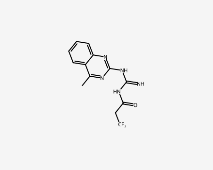 Cc1nc(NC(=N)NC(=O)CC(F)(F)F)nc2ccccc12